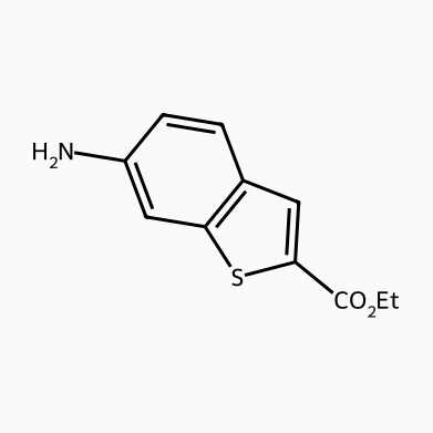 CCOC(=O)c1cc2ccc(N)cc2s1